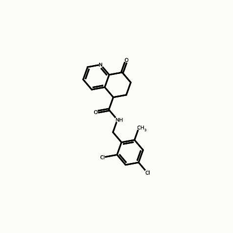 Cc1cc(Cl)cc(Cl)c1CNC(=O)C1CCC(=O)c2ncccc21